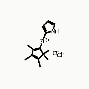 CC1=C(C)C(C)(C)[C]([Zr+2][c]2ccc[nH]2)=C1C.[Cl-].[Cl-]